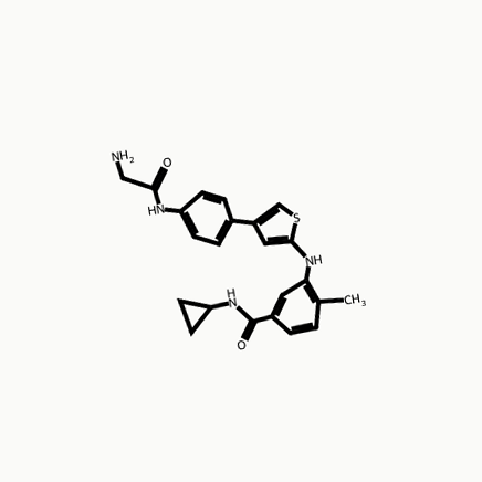 Cc1ccc(C(=O)NC2CC2)cc1Nc1cc(-c2ccc(NC(=O)CN)cc2)cs1